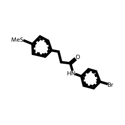 CSc1ccc(CCC(=O)Nc2ccc(Br)cc2)cc1